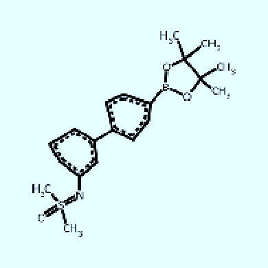 CC1(C)OB(c2ccc(-c3cccc(N=S(C)(C)=O)c3)cc2)OC1(C)C